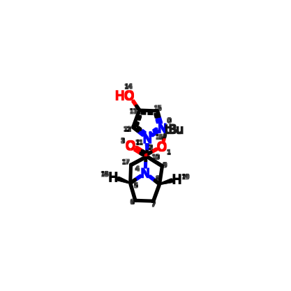 CC(C)(C)OC(=O)N1[C@@H]2CC[C@H]1C[C@H](n1cc(O)cn1)C2